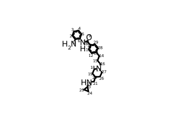 Nc1ccccc1NC(=O)c1ccc(CCCN2CCC(CNC3CC3)CC2)cc1